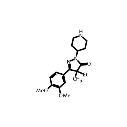 CCC1(C)C(=O)N(C2CCNCC2)N=C1c1ccc(OC)c(OC)c1